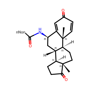 CCCCCCCCCC(=O)N[C@@H]1C[C@@H]2[C@H](CC[C@]3(C)C(=O)CC[C@@H]23)[C@@]2(C)C=CC(=O)C=C12